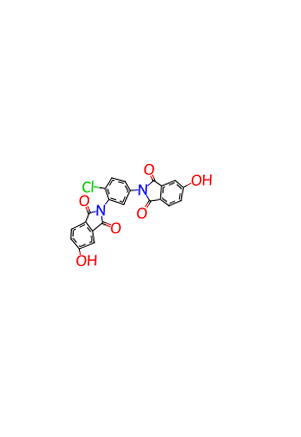 O=C1c2ccc(O)cc2C(=O)N1c1ccc(Cl)c(N2C(=O)c3ccc(O)cc3C2=O)c1